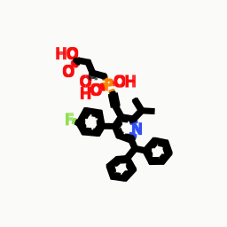 CC(C)c1nc(C(c2ccccc2)c2ccccc2)cc(-c2ccc(F)cc2)c1C#CP(=O)(O)C[C@@H](O)CC(=O)O